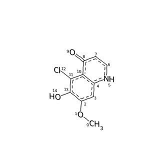 COc1cc2[nH]ccc(=O)c2c(Cl)c1O